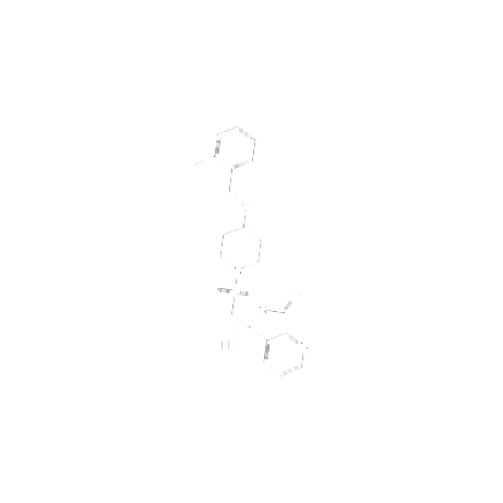 Cc1ccccc1COC1CCN(S(=O)(=O)C[C@@](O)(NC=O)c2cccnc2)CC1